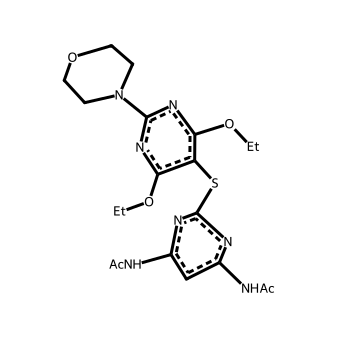 CCOc1nc(N2CCOCC2)nc(OCC)c1Sc1nc(NC(C)=O)cc(NC(C)=O)n1